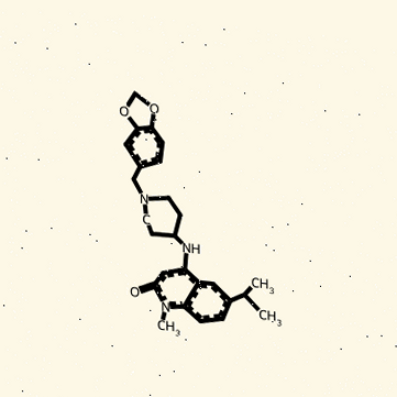 CC(C)c1ccc2c(c1)c(NC1CCN(Cc3ccc4c(c3)OCO4)CC1)cc(=O)n2C